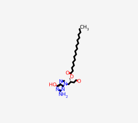 CCCCCCCCCCCCCCCCCC(=O)OC[C@H](CC=O)Cn1cnc2c(O)nc(N)nc21